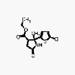 CCOC(=O)C1CC(=O)NC1(C)c1ccc(Cl)s1